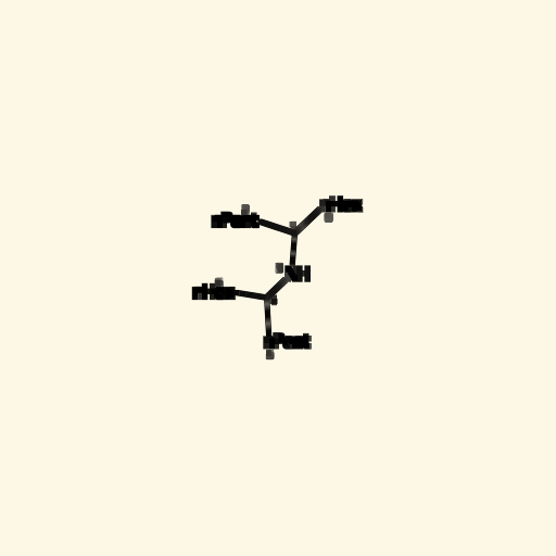 CCCCCCC(CCCCC)NC(CCCCC)CCCCCC